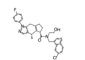 C[C@@H]1C2=C(CC[C@H]2C(=O)N(CCO)Cc2csc3ccc(Cl)cc23)Cc2c1cnn2-c1ccc(F)cc1